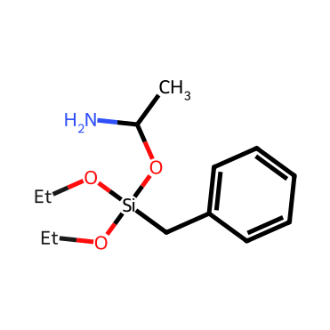 CCO[Si](Cc1ccccc1)(OCC)OC(C)N